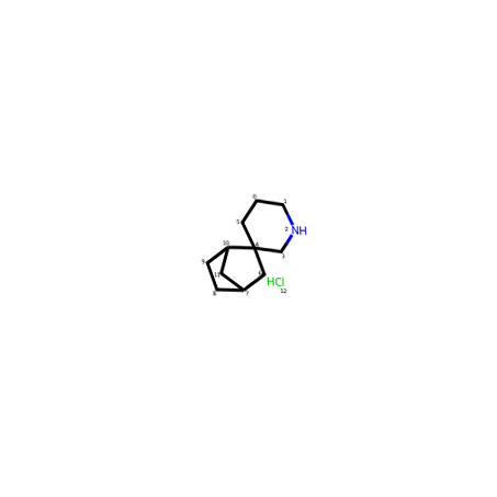 C1CNCC2(C1)CC1CCC2C1.Cl